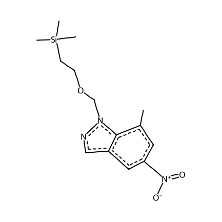 Cc1cc([N+](=O)[O-])cc2cnn(COCC[Si](C)(C)C)c12